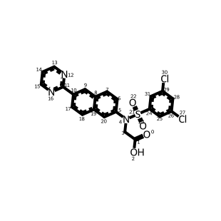 O=C(O)CN(c1ccc2cc(-c3ncccn3)ccc2c1)S(=O)(=O)c1cc(Cl)cc(Cl)c1